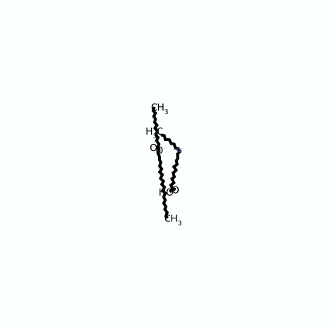 CCCCCCCC/C=C\CCCCCCCCCCCC(=O)O.CCCCCCCCCCCCCCCCCCCCCCOC(=O)CCCCCCCCCCCCC